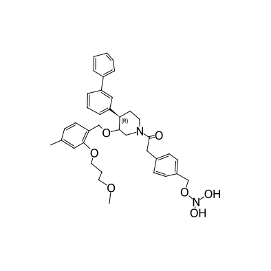 COCCCOc1cc(C)ccc1COC1CN(C(=O)Cc2ccc(CON(O)O)cc2)CC[C@@H]1c1cccc(-c2ccccc2)c1